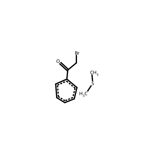 CSC.O=C(CBr)c1ccccc1